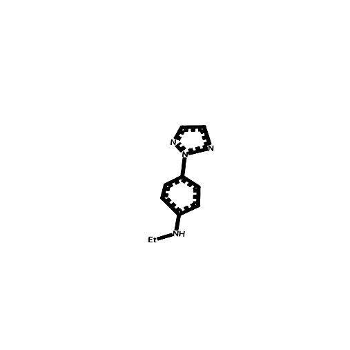 CCNc1ccc(-n2nccn2)cc1